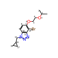 CC(C)OCCOc1ccc2c(nnn2CC2CC2)c1Br